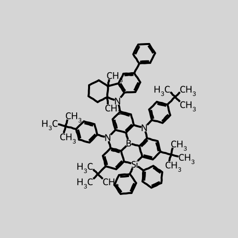 CC(C)(C)c1ccc(N2c3cc(N4c5ccc(-c6ccccc6)cc5C5(C)CCCCC45C)cc4c3B3c5c2cc(C(C)(C)C)cc5[Si](c2ccccc2)(c2ccccc2)c2cc(C(C)(C)C)cc(c23)N4c2ccc(C(C)(C)C)cc2)cc1